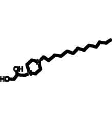 CCCCCCCCCCCCCN1CCN(CC(O)CO)CC1